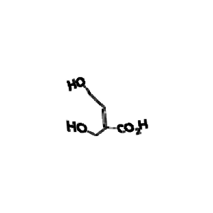 O=C(O)C(=CCO)CO